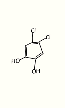 Oc1cc(Cl)c(Cl)cc1O